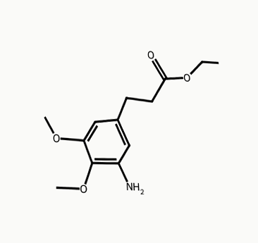 CCOC(=O)CCc1cc(N)c(OC)c(OC)c1